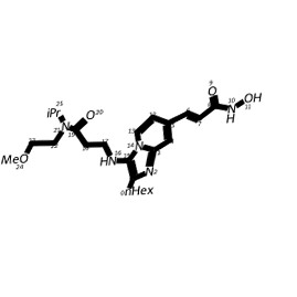 CCCCCCc1nc2cc(C=CC(=O)NO)ccn2c1NCCC(=O)N(CCOC)C(C)C